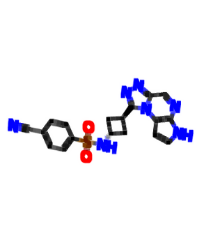 N#Cc1ccc(S(=O)(=O)N[C@H]2C[C@H](c3nnc4cnc5[nH]ccc5n43)C2)cc1